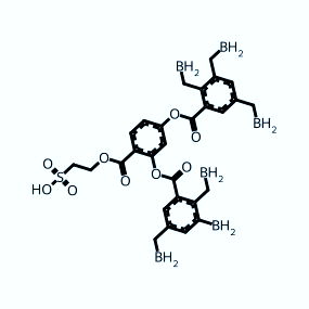 BCc1cc(B)c(CB)c(C(=O)Oc2cc(OC(=O)c3cc(CB)cc(CB)c3CB)ccc2C(=O)OCCS(=O)(=O)O)c1